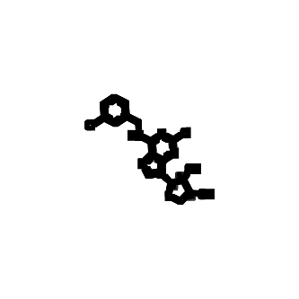 O[C@@H]1[C@H](n2cnc3c(NCc4cccc(Cl)c4)nc(Cl)nc32)SC[C@@H]1O